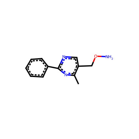 Cc1nc(-c2ccccc2)ncc1CON